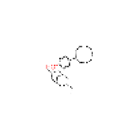 CCC1CC2CC(C)CC(c3cc(C4CCCCCCCC4)ccc3O)(C1)C2